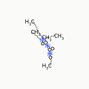 CCCCCCCCCCCCCC1(C)N(CCCCCCCC)c2cccc3c(N=Nc4ccc(N=Nc5ccc(CCCC)cc5)c5ccccc45)ccc(c23)N1CCCCCCCC